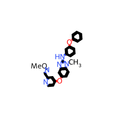 CON=Cc1cc(Oc2ccc3c(c2)nc(Nc2cccc(Oc4ccccc4)c2)n3C)ccn1